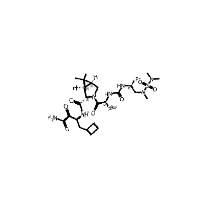 CC(C)[C@@H](CN(C)S(=O)(=O)N(C)C)NC(=O)N[C@H](C(=O)N1C[C@H]2[C@@H]([C@H]1C(=O)NC(CC1CCC1)C(=O)C(N)=O)C2(C)C)C(C)(C)C